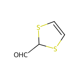 O=CC1SC=CS1